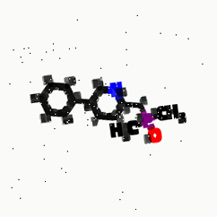 CP(C)(=O)Cc1ccc(-c2ccccc2)cn1